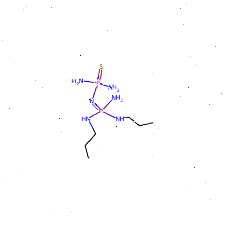 CCCNP(N)(=NP(N)(N)=S)NCCC